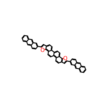 c1ccc2cc3cc(-c4cc5ccc6c7ccc8c(ccc9cc(-c%10ccc%11cc%12ccccc%12cc%11c%10)oc98)c7ccc6c5o4)ccc3cc2c1